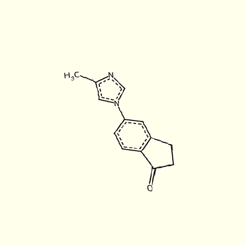 Cc1cn(-c2ccc3c(c2)CCC3=O)cn1